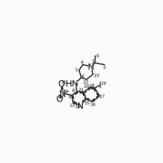 CC(C)N1CCC(Nc2c([N+](=O)[O-])cnc3ccc(I)cc23)CC1